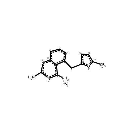 Cl.Nc1nc(N)c2c(Cc3ccc(C(F)(F)F)o3)cccc2n1